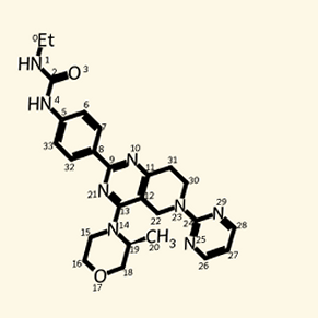 CCNC(=O)Nc1ccc(-c2nc3c(c(N4CCOC[C@@H]4C)n2)CN(c2ncccn2)CC3)cc1